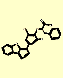 O=C(O)[C@@H](Cc1ccccc1)Oc1c(Cl)cc(-c2cccc3c2oc2ccccc23)cc1Cl